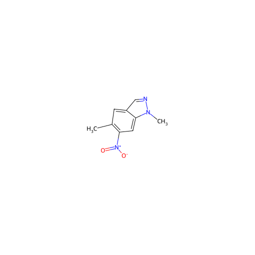 Cc1cc2cnn(C)c2cc1[N+](=O)[O-]